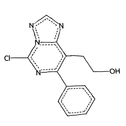 OCCc1c(-c2ccccc2)nc(Cl)n2ncnc12